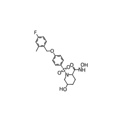 Cc1cc(F)ccc1COc1ccc(S(=O)(=O)N2CC(O)CCC2C(=O)NO)cc1